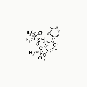 CO[C@@H](c1ccccn1)[C@@H](N[S@+]([O-])C(C)(C)C)[C@H]1COC(C)(C)O1